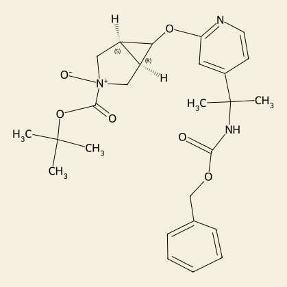 CC(C)(C)OC(=O)[N+]1([O-])C[C@@H]2C(Oc3cc(C(C)(C)NC(=O)OCc4ccccc4)ccn3)[C@@H]2C1